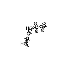 CCOc1c(COC)cc(-c2cc(COC)c(OCC(O)COc3c(C)cc(-c4cc(C)c(OCC(O)CC(C)(C)C)c(C)c4)cc3C)c(COC)c2)cc1COC